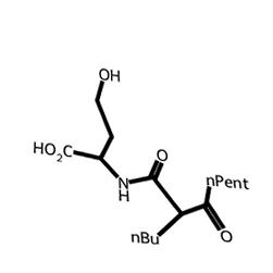 CCCCCC(=O)C(CCCC)C(=O)NC(CCO)C(=O)O